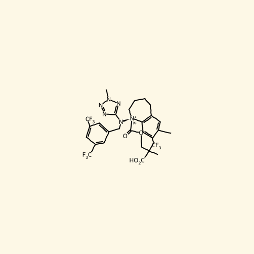 Cc1cc2c(cc1C(F)(F)F)[N@@+](C(=O)OCC(C)(C)C(=O)O)(N(Cc1cc(C(F)(F)F)cc(C(F)(F)F)c1)c1nnn(C)n1)CCCC2